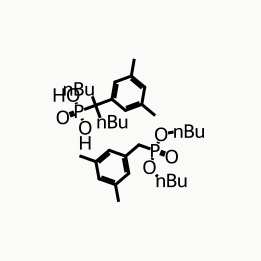 CCCCC(CCCC)(c1cc(C)cc(C)c1)P(=O)(O)O.CCCCOP(=O)(Cc1cc(C)cc(C)c1)OCCCC